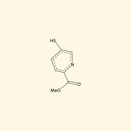 COC(=O)c1ccc(S)cn1